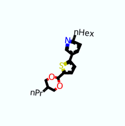 CCCCCCc1ccc(-c2ccc(C3OCC(CCC)CO3)s2)cn1